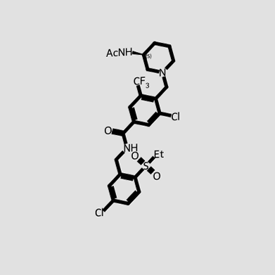 CCS(=O)(=O)c1ccc(Cl)cc1CNC(=O)c1cc(Cl)c(CN2CCC[C@H](NC(C)=O)C2)c(C(F)(F)F)c1